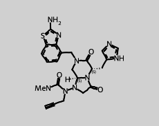 C#CCN(C(=O)NC)N1CC(=O)N2[C@@H](Cc3cnc[nH]3)C(=O)N(Cc3cccc4sc(N)nc34)C[C@@H]21